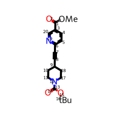 COC(=O)c1ccc(C#CC2CCN(C(=O)OC(C)(C)C)CC2)nc1